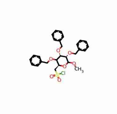 COC1O[C@@H](CS(=O)(=O)Cl)C(OCc2ccccc2)[C@H](OCc2ccccc2)[C@@H]1OCc1ccccc1